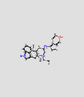 CCCN1CC(NC2=C3C=COC=C3CC2)C[C@@H]2c3cccc4[nH]cc(c34)C[C@H]21